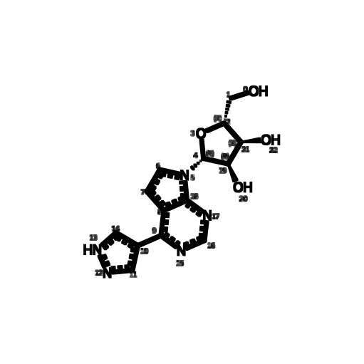 OC[C@H]1O[C@@H](n2ccc3c(-c4cn[nH]c4)ncnc32)[C@H](O)[C@@H]1O